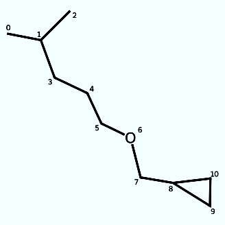 CC(C)CCCOCC1CC1